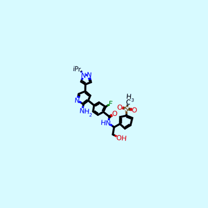 CC(C)n1cc(-c2cnc(N)c(-c3ccc(C(=O)NC(CO)c4cccc(S(C)(=O)=O)c4)c(F)c3)c2)cn1